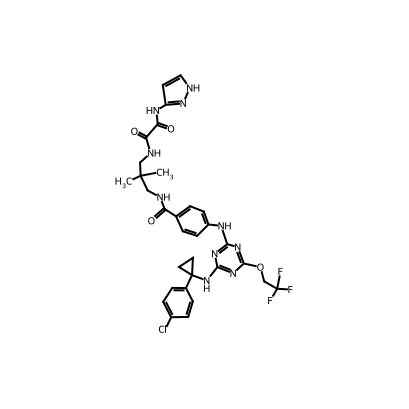 CC(C)(CNC(=O)C(=O)Nc1cc[nH]n1)CNC(=O)c1ccc(Nc2nc(NC3(c4ccc(Cl)cc4)CC3)nc(OCC(F)(F)F)n2)cc1